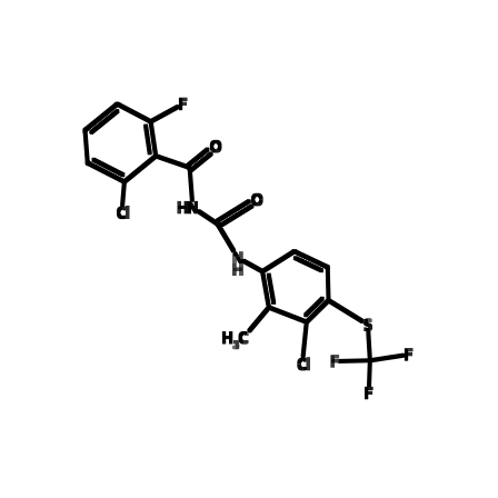 Cc1c(NC(=O)NC(=O)c2c(F)cccc2Cl)ccc(SC(F)(F)F)c1Cl